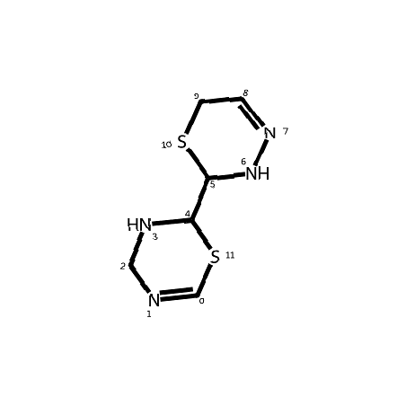 C1=NCNC(C2NN=CCS2)S1